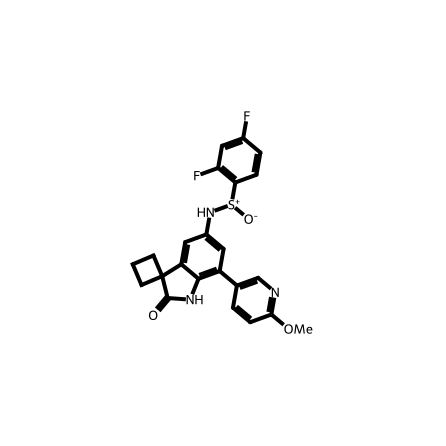 COc1ccc(-c2cc(N[S+]([O-])c3ccc(F)cc3F)cc3c2NC(=O)C32CCC2)cn1